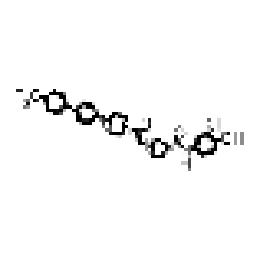 O=C(Nc1ccc(O)c(Cl)c1)[C@@H]1CCN(CC(=O)N2CCN(c3ccc(-c4ccc(C(F)(F)F)cc4)cc3)CC2)C1